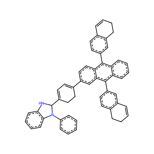 C1=Cc2cc(-c3c4ccccc4c(-c4ccc5c(c4)CCC=C5)c4ccc(C5=CC=C(C6Nc7ccccc7N6c6ccccc6)CC5)cc34)ccc2CC1